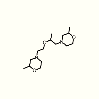 CC1CN(CCOC(C)CN2CCOC(C)C2)CCO1